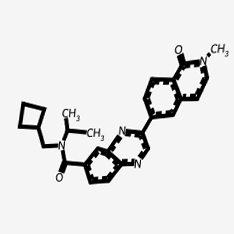 CC(C)N(CC1CCC1)C(=O)c1ccc2ncc(-c3ccc4c(=O)n(C)ccc4c3)nc2c1